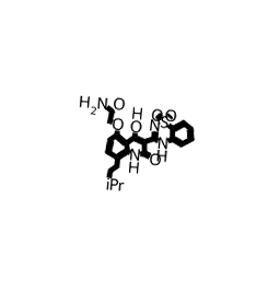 CC(C)CCc1ccc(OCC(N)=O)c2c(O)c(C3=NS(=O)(=O)c4ccccc4N3)c(=O)[nH]c12